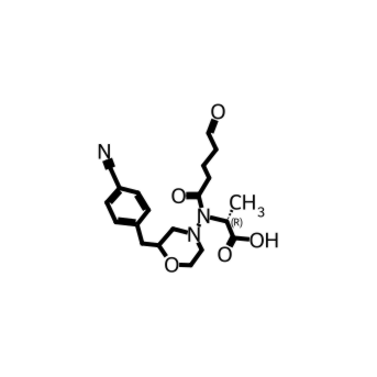 C[C@H](C(=O)O)N(C(=O)CCCC=O)N1CCOC(Cc2ccc(C#N)cc2)C1